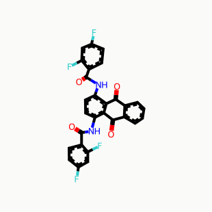 O=C(Nc1ccc(NC(=O)c2ccc(F)cc2F)c2c1C(=O)c1ccccc1C2=O)c1ccc(F)cc1F